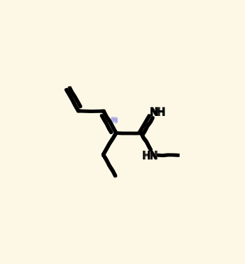 C=C/C=C(\CC)C(=N)NC